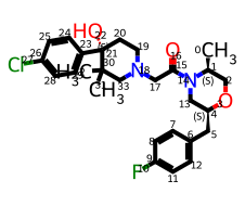 C[C@H]1CO[C@@H](Cc2ccc(F)cc2)CN1C(=O)CN1CC[C@](O)(c2ccc(Cl)cc2)C(C)(C)C1